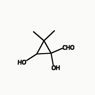 CC1(C)C(O)C1(O)C=O